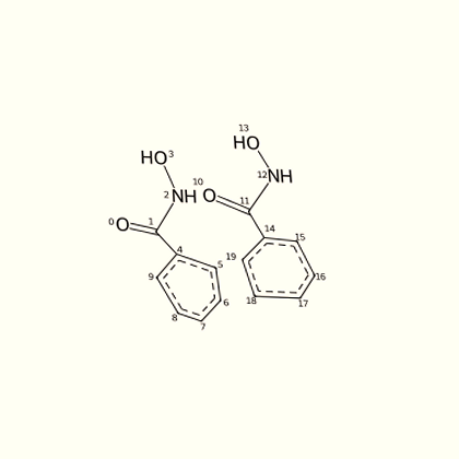 O=C(NO)c1ccccc1.O=C(NO)c1ccccc1